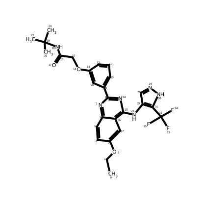 CCOc1ccc2nc(-c3cccc(OCC(=O)NC(C)(C)C)c3)nc(Nc3cn[nH]c3C(F)(F)F)c2c1